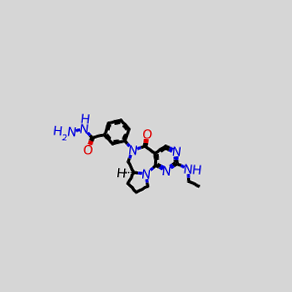 CCNc1ncc2c(n1)N1CCC[C@H]1CN(c1cccc(C(=O)NN)c1)C2=O